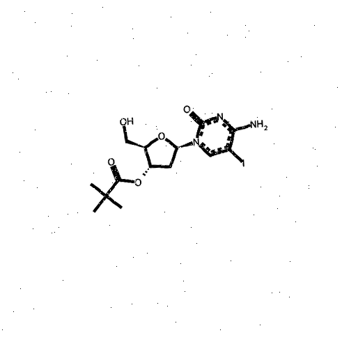 CC(C)(C)C(=O)O[C@H]1C[C@H](n2cc(I)c(N)nc2=O)O[C@@H]1CO